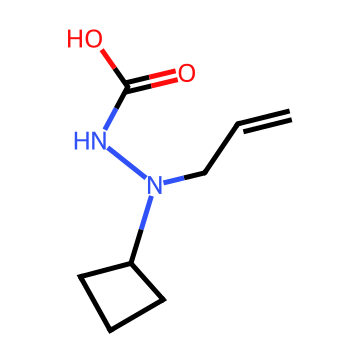 C=CCN(NC(=O)O)C1CCC1